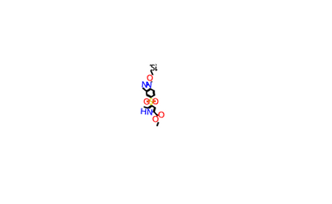 CCOC(=O)c1cc(S(=O)(=O)c2ccc3c(cnn3COCC[Si](C)(C)C)c2)c(C)[nH]1